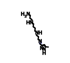 Cc1cc(/C=N/CCCNCCCCNCCCN)n[nH]1